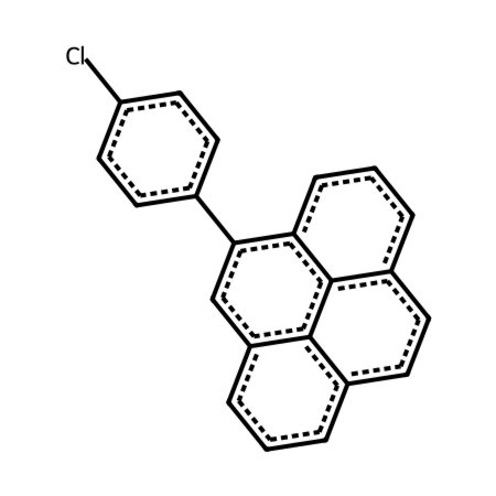 Clc1ccc(-c2cc3cccc4ccc5cccc2c5c43)cc1